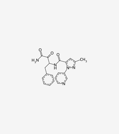 Cc1cc(C(=O)NC(Cc2ccccc2)C(=O)C(N)=O)n(-c2cccnc2)n1